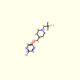 CC(C)(F)CN1CCC(COc2cnc(I)cn2)CC1